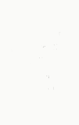 CCO[Si]12CCCOCC(CN(C)CCO1)O2